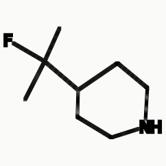 CC(C)(F)C1CCNCC1